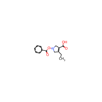 CCC1=C(C(=O)O)CN(OC(=O)c2ccccc2)C1